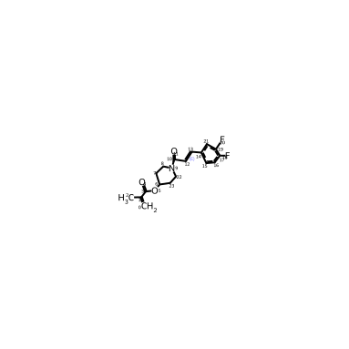 C=C(C)C(=O)OC1CCN(C(=O)/C=C/c2ccc(F)c(F)c2)CC1